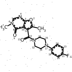 Cc1oc2ncn(C)c(=O)c2c1C(=O)N1CCN(c2ccc(F)cc2)CC1